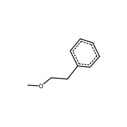 COCCc1cc[c]cc1